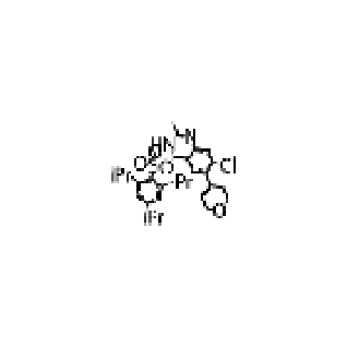 CC1=Nc2cc(Cl)c(C3=CCOCC3)cc2C(OS(=O)(=O)c2c(C(C)C)cc(C(C)C)cc2C(C)C)N1